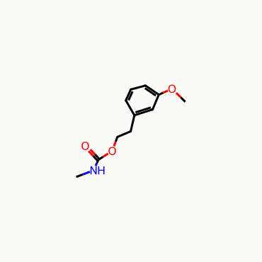 CNC(=O)OCCc1cccc(OC)c1